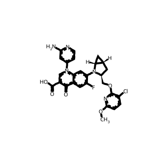 COc1ccc(Cl)c(OC[C@@H]2C[C@H]3C[C@H]3N2c2cc3c(cc2F)c(=O)c(C(=O)O)cn3-c2ccnc(N)c2)n1